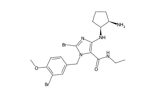 CCNC(=O)c1c(N[C@H]2CCC[C@H]2N)nc(Br)n1Cc1ccc(OC)c(Br)c1